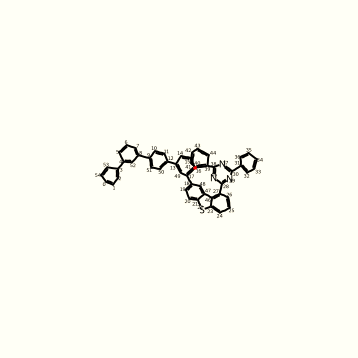 c1ccc(-c2cccc(-c3ccc(-c4cccc(-c5ccc6sc7cccc(-c8nc(-c9ccccc9)nc(-c9ccccc9)n8)c7c6c5)c4)cc3)c2)cc1